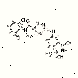 CC1(C)NC(=O)c2cc(Nc3ncc4c(n3)SCN(c3c(Cl)cccc3Cl)C4=O)ccc21